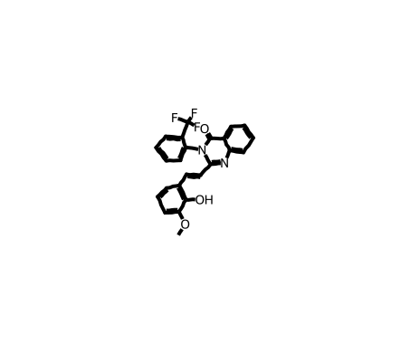 COc1cccc(/C=C/c2nc3ccccc3c(=O)n2-c2ccccc2C(F)(F)F)c1O